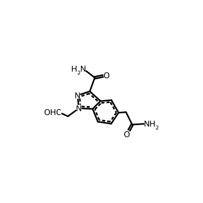 NC(=O)Cc1ccc2c(c1)c(C(N)=O)nn2CC=O